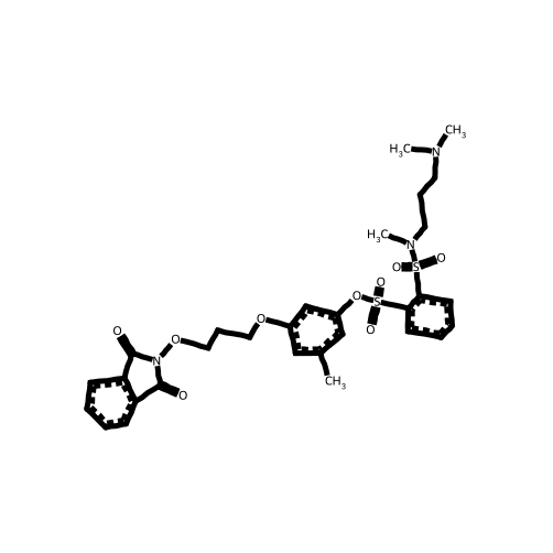 Cc1cc(OCCCON2C(=O)c3ccccc3C2=O)cc(OS(=O)(=O)c2ccccc2S(=O)(=O)N(C)CCCN(C)C)c1